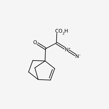 [N-]=[N+]=C(C(=O)O)C(=O)C12C=CC(CC1)C2